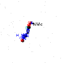 CNCCN(C)C(=O)COc1ccc(N2CCN(CCn3ncc4c3nc(N)n3nc(-c5ccco5)nc43)CC2)c(F)c1